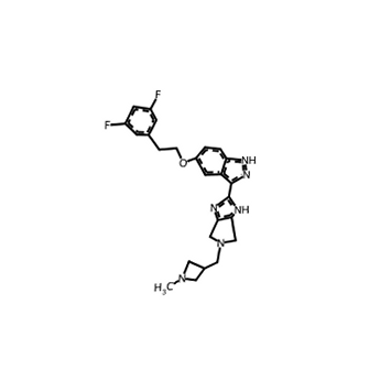 CN1CC(CN2Cc3nc(-c4n[nH]c5ccc(OCCc6cc(F)cc(F)c6)cc45)[nH]c3C2)C1